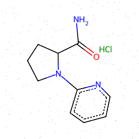 Cl.NC(=O)C1CCCN1c1ccccn1